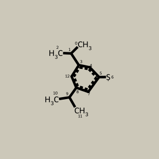 CC(C)c1cc([S])cc(C(C)C)c1